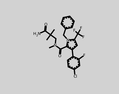 CN(CC(C)(C)C(N)=O)C(=O)c1c(-c2ccc(Cl)cc2F)cc(C(F)(F)F)n1Cc1ccccc1